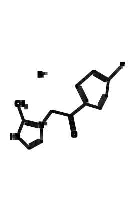 Cc1[nH]cc[n+]1CC(=O)c1ccc(F)cc1.[Br-]